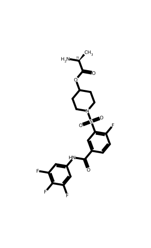 C[C@H](N)C(=O)OC1CCN(S(=O)(=O)c2cc(C(=O)Nc3cc(F)c(F)c(F)c3)ccc2F)CC1